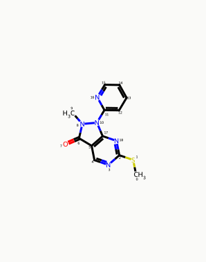 CSc1ncc2c(=O)n(C)n(-c3ccccn3)c2n1